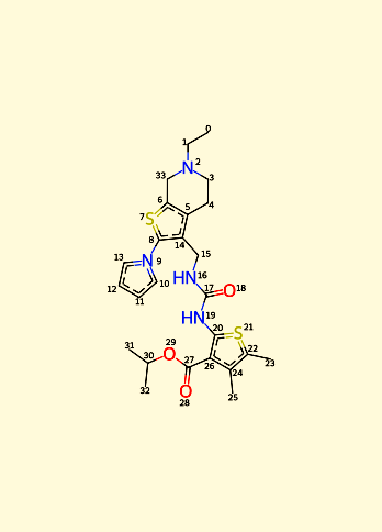 CCN1CCc2c(sc(-n3cccc3)c2CNC(=O)Nc2sc(C)c(C)c2C(=O)OC(C)C)C1